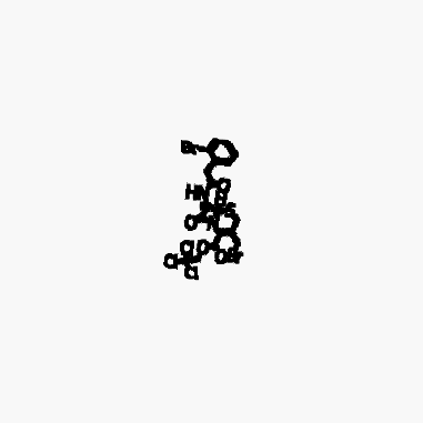 O=C(Cc1ccccc1Br)N[C@@H]1C(=O)N2C(C(=O)OCC(Cl)(Cl)Cl)=C(CBr)CS[C@H]12